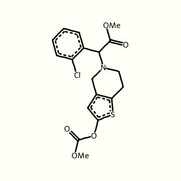 COC(=O)Oc1cc2c(s1)CCN(C(C(=O)OC)c1ccccc1Cl)C2